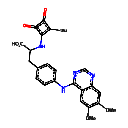 COc1cc2ncnc(Nc3ccc(CC(Nc4c(C(C)(C)C)c(=O)c4=O)C(=O)O)cc3)c2cc1OC